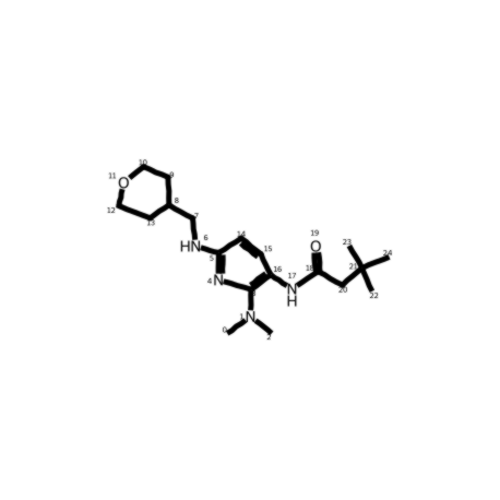 CN(C)c1nc(NCC2CCOCC2)ccc1NC(=O)CC(C)(C)C